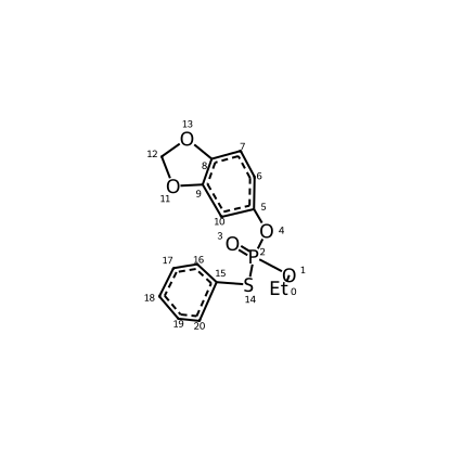 CCOP(=O)(Oc1ccc2c(c1)OCO2)Sc1ccccc1